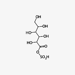 O=C(OS(=O)(=O)O)C(O)C(O)C(O)C(O)CO